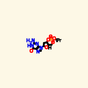 CC(C)OP1(=O)OC[C@@H]2O[C@@H](n3cnc4c(=O)[nH]c(N)nc43)CC2O1